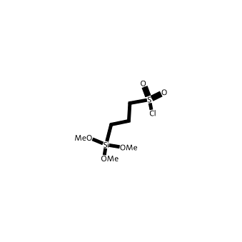 CO[Si](CCCS(=O)(=O)Cl)(OC)OC